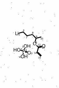 O=P(O)(O)O.[Li][CH2]CCC(C)OC(=O)C=C